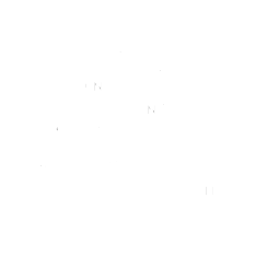 C=CCn1ccnc1.c1ccccc1